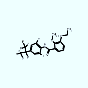 CCNc1cccc(C(=O)Nc2c(Cl)cc(C(F)(C(F)(F)F)C(F)(F)F)cc2Cl)c1OC